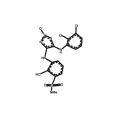 CNS(=O)(=O)c1cccc(Nc2n[s+]([O-])nc2Nc2cccc(Cl)c2Cl)c1O